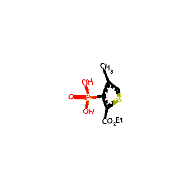 CCOC(=O)c1scc(C)c1P(=O)(O)O